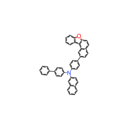 c1ccc(-c2ccc(N(c3ccc(-c4ccc5ccc6oc7ccccc7c6c5c4)cc3)c3ccc4ccccc4c3)cc2)cc1